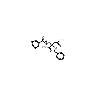 O=C(O)CC(OCc1ccccc1)(C(=O)O)N(I)NC(=O)c1ccccc1